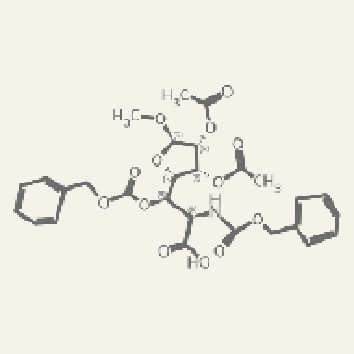 CO[C@@H]1O[C@@H]([C@H](OC(=O)OCc2ccccc2)[C@@H](NC(=O)OCc2ccccc2)C(=O)O)[C@@H](OC(C)=O)[C@H]1OC(C)=O